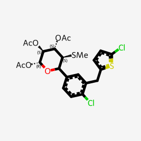 CS[C@H]1C(c2ccc(Cl)c(Cc3ccc(Cl)s3)c2)O[C@H](OC(C)=O)[C@@H](OC(C)=O)[C@@H]1OC(C)=O